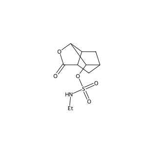 CCNS(=O)(=O)OC1C2CC3C(=O)OC1C3C2